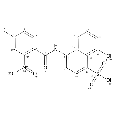 Cc1ccc(C(=O)Nc2ccc(S(=O)(=O)O)c3c(O)cccc23)c([N+](=O)[O-])c1